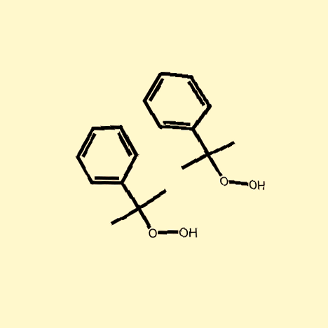 CC(C)(OO)c1ccccc1.CC(C)(OO)c1ccccc1